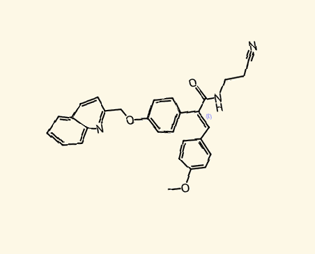 COc1ccc(/C=C(/C(=O)NCCC#N)c2ccc(OCc3ccc4ccccc4n3)cc2)cc1